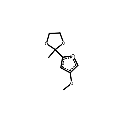 COc1coc(C2(C)OCCO2)c1